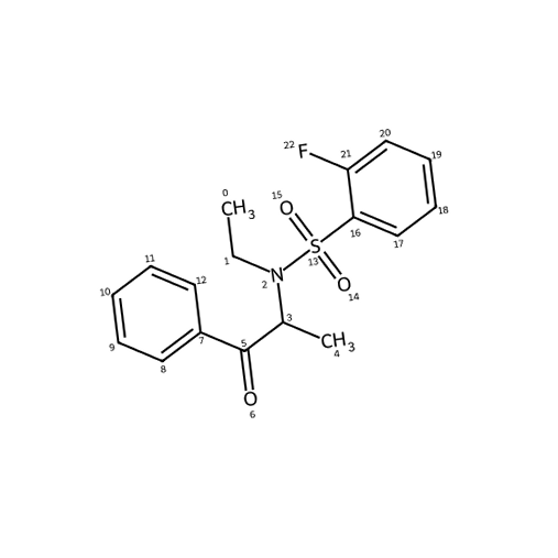 CCN(C(C)C(=O)c1ccccc1)S(=O)(=O)c1ccccc1F